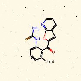 CCCC(C)c1cccc(NC(N)=S)c1C(=O)c1cc2cccnc2o1